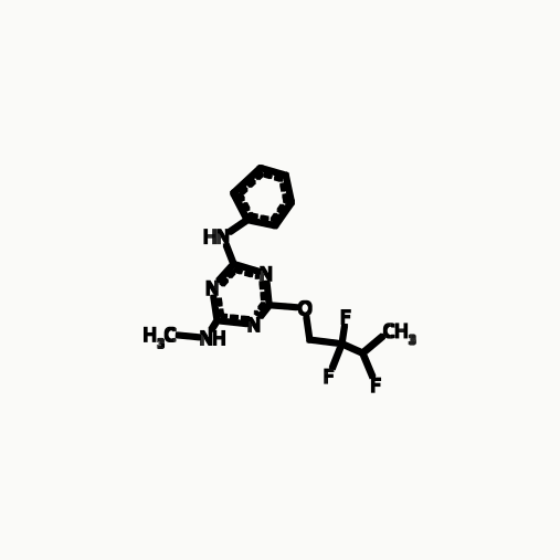 CNc1nc(Nc2ccccc2)nc(OCC(F)(F)C(C)F)n1